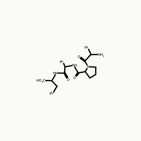 CC(C)CC(NC(=O)C(NC(=O)C1CCCN1C(=O)C(N)C(C)C)C(C)C)C(=O)O